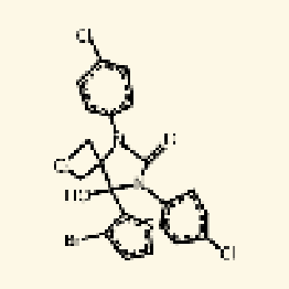 O=C1N(c2ccc(Cl)cc2)C2(COC2)C(O)(c2sccc2Br)N1c1ccc(Cl)cc1